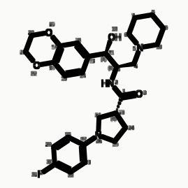 O=C(N[C@H](CN1CCCCC1)[C@H](O)c1ccc2c(c1)OCCO2)[C@@H]1CCN(c2ccc(F)cc2)C1